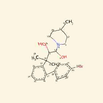 CC1CCN(C(O)C(O)C(C)(C)c2ccccc2-c2ccc(Br)cc2)CC1